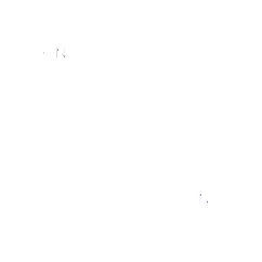 CN1CC=C(c2cccc(N=O)c2)CC1